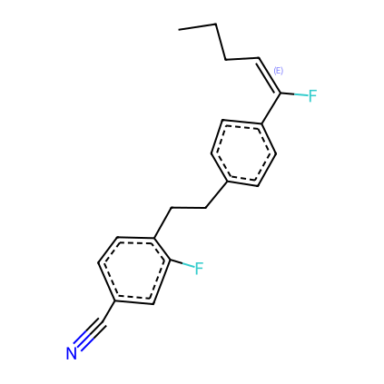 CCC/C=C(/F)c1ccc(CCc2ccc(C#N)cc2F)cc1